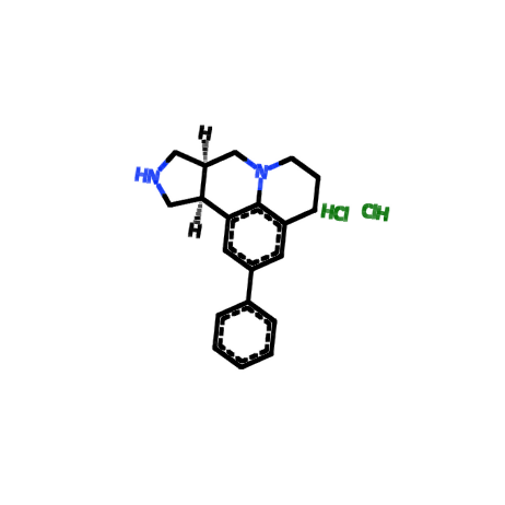 Cl.Cl.c1ccc(-c2cc3c4c(c2)[C@H]2CNC[C@H]2CN4CCC3)cc1